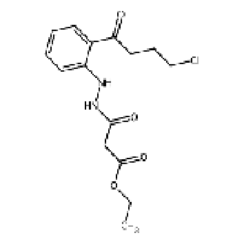 CCOC(=O)CC(=O)NNc1ccccc1C(=O)CCCCl